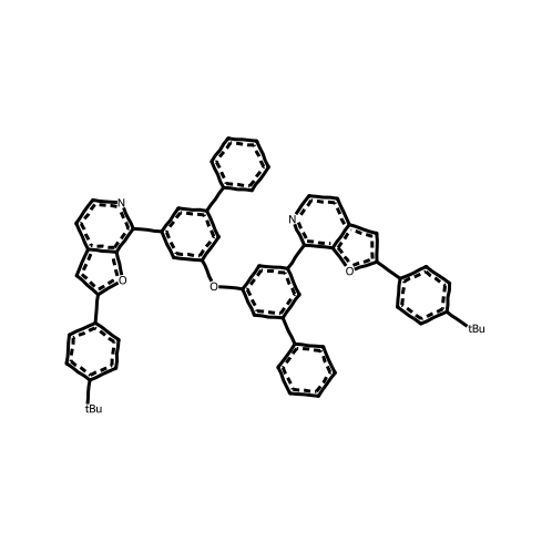 CC(C)(C)c1ccc(-c2cc3ccnc(-c4cc(Oc5cc(-c6ccccc6)cc(-c6nccc7cc(-c8ccc(C(C)(C)C)cc8)oc67)c5)cc(-c5ccccc5)c4)c3o2)cc1